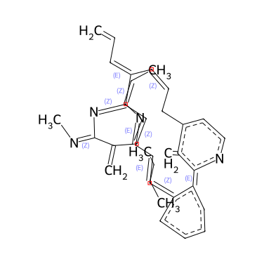 C=C/C=C(\C=C/Cc1ccn/c(=c2\cccc\c2=C\CC)c1=C)C(=N/C(=N\C)C(=C)/C=C\C=C/C)/N=C/C=C/C